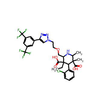 CCC1(C(=O)O)C(COCCn2cc(-c3cc(C(F)(F)F)cc(C(F)(F)F)c3)nn2)NC(C)C(C)(C(=O)O)C1c1ccccc1Cl